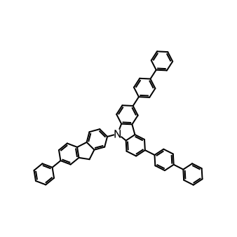 c1ccc(-c2ccc(-c3ccc4c(c3)c3cc(-c5ccc(-c6ccccc6)cc5)ccc3n4-c3ccc4c(c3)Cc3cc(-c5ccccc5)ccc3-4)cc2)cc1